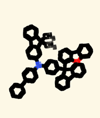 CC1(C)c2ccccc2-c2ccc(N(c3ccc(-c4ccccc4)cc3)c3ccc(C4(c5cccc6c5oc5ccccc56)c5ccccc5-c5ccccc54)cc3)cc21